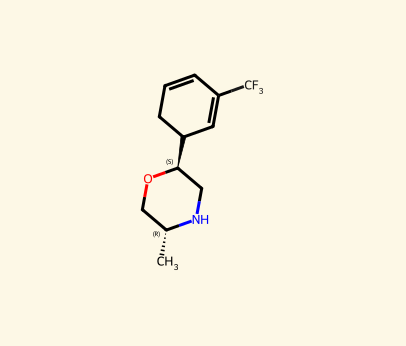 C[C@@H]1CO[C@@H](C2C=C(C(F)(F)F)C=CC2)CN1